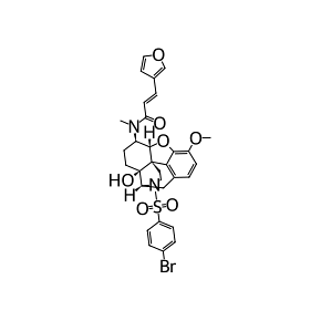 COc1ccc2c3c1O[C@H]1[C@H](N(C)C(=O)/C=C/c4ccoc4)CC[C@@]4(O)[C@@H](C2)N(S(=O)(=O)c2ccc(Br)cc2)CC[C@]314